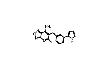 Cc1nc2nonc2c(N)c1Cc1cccc(-c2ccn[nH]2)c1